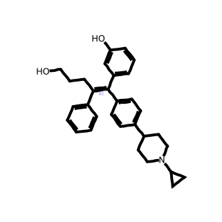 OCCC/C(=C(/c1ccc(C2CCN(C3CC3)CC2)cc1)c1cccc(O)c1)c1ccccc1